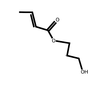 CC=CC(=O)OC[CH]CO